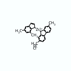 Cc1cc(C)c2c(c1)C=C[CH]2[Zr+2][CH]1c2cc(C)ccc2-c2ccc(C)cc21.[Cl-].[Cl-]